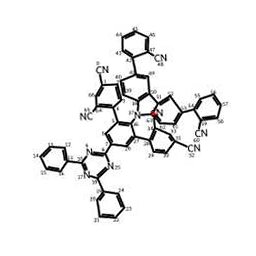 N#Cc1ccc(-c2cc(-c3nc(-c4ccccc4)nc(-c4ccccc4)n3)cc(-c3ccc(C#N)cc3C#N)c2-n2c3ccc(-c4ccccc4C#N)cc3c3cc(-c4ccccc4C#N)ccc32)c(C#N)c1